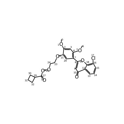 COc1cc(OC)c(-c2cc(=O)c3cccc(Cl)c3o2)cc1OCCOOC(=O)C1CCC1